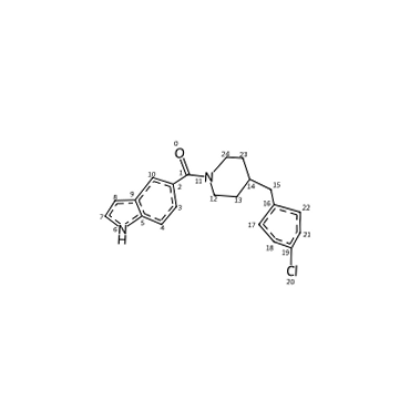 O=C(c1ccc2[nH]ccc2c1)N1CCC(Cc2ccc(Cl)cc2)CC1